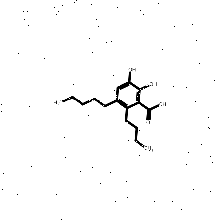 CCCCCc1cc(O)c(O)c(C(=O)O)c1CCCC